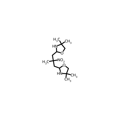 CC1(C)COC(CC(C)(CC2NC(C)(C)CO2)[N+](=O)[O-])N1